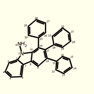 Nn1c2ccccc2c2cc(-c3ccccc3)c(-c3ccccc3)c(-c3ccccc3)c21